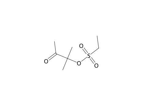 CCS(=O)(=O)OC(C)(C)C(C)=O